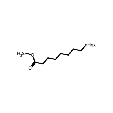 CCCCCCCCCCCCCC(=O)O[SiH3]